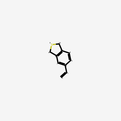 C=Cc1ccc2c(c1)CSC2